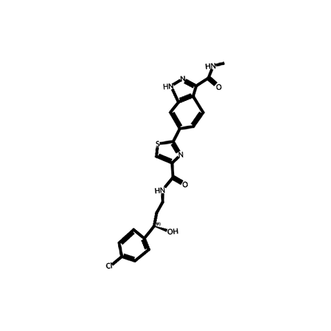 CNC(=O)c1n[nH]c2cc(-c3nc(C(=O)NCC[C@@H](O)c4ccc(Cl)cc4)cs3)ccc12